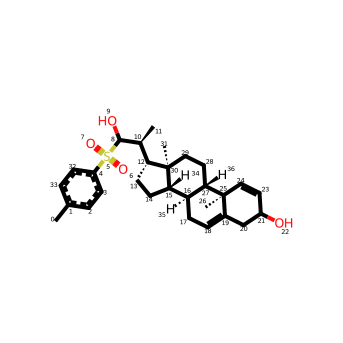 Cc1ccc(S(=O)(=O)C(O)[C@@H](C)[C@H]2CC[C@H]3[C@@H]4CC=C5CC(O)C=C[C@]5(C)[C@H]4CC[C@]23C)cc1